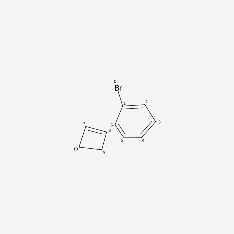 Brc1ccccc1.C1=CCC1